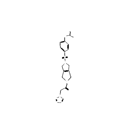 O=C(Cn1cnnn1)N1CC2=C(C1)CN(S(=O)(=O)c1ccc(OC(F)F)cc1)C2